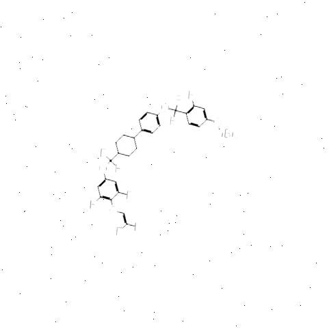 CCCCOc1ccc(C(F)(F)Oc2ccc(C3CCC(C(F)(F)Oc4cc(F)c(OC=C(F)F)c(F)c4)CC3)cc2)c(F)c1